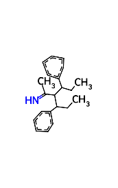 CCC(c1ccccc1)C(C(C)=N)C(CC)c1ccccc1